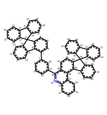 c1cc(-c2cccc3c2-c2ccccc2C32c3ccccc3-c3ccccc32)cc(-c2nc3ccccc3c3c4c(ccc23)C2(c3ccccc3-c3ccccc32)c2ccccc2-4)c1